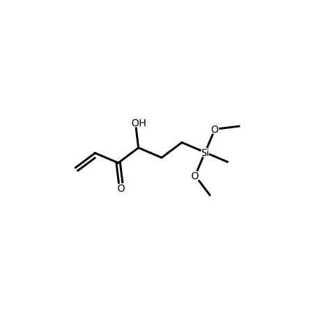 C=CC(=O)C(O)CC[Si](C)(OC)OC